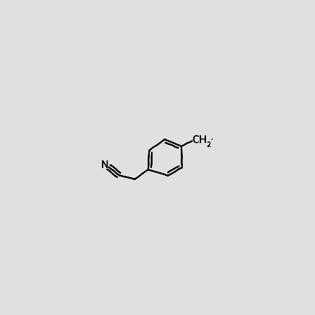 [CH2]c1ccc(CC#N)cc1